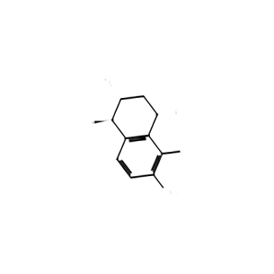 Br.N[C@@H]1CCc2c(ccc(O)c2O)[C@H]1O